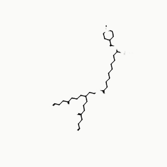 CCCCCCCCCCC(CCCCCCCCC(=O)OCCC(CCCC(=S)CCC=S)CCCC(=S)CCC=S)OC(=O)C1CCN(C)CC1